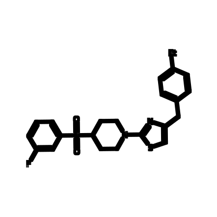 CCc1ccc(Cc2csc(N3CCC(S(=O)(=O)c4cccc(F)c4)CC3)n2)cc1